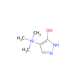 C[N+](C)(C)c1cn[nH]c1O